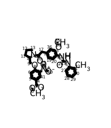 COC(=O)c1ccc(OCC2CCCN2C(=O)Cc2ccc(NC(=O)Nc3ccccc3C)c(OC)c2)c([N+](=O)[O-])c1